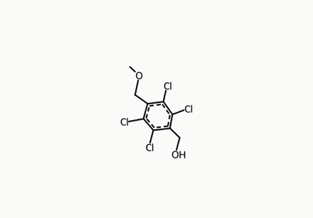 COCc1c(Cl)c(Cl)c(CO)c(Cl)c1Cl